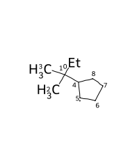 CCC(C)(C)C1[CH]CCC1